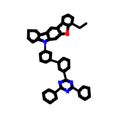 CCc1cccc2c1oc1cc3c(cc12)c1ccccc1n3-c1cccc(-c2cccc(-c3nc(-c4ccccc4)nc(-c4ccccc4)n3)c2)c1